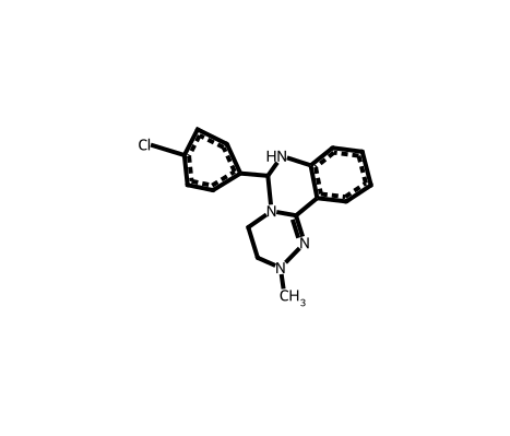 CN1CCN2C(=N1)c1ccccc1NC2c1ccc(Cl)cc1